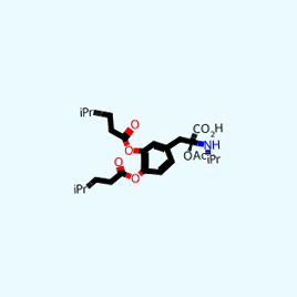 CC(=O)O[C@](Cc1ccc(OC(=O)CCC(C)C)c(OC(=O)CCC(C)C)c1)(NC(C)C)C(=O)O